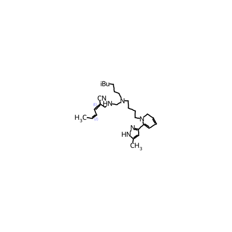 C/C=C\C=C(\C#N)CNCN(CCCCN1CC=CC=C1c1cc(C)[nH]n1)CCCC(C)CC